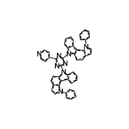 c1ccc(-n2ccc3ccc4c(c5ccccc5n4-c4nc(-c5ccncc5)nc(-n5c6ccccc6c6c7c(ccc65)ccn7-c5ccccc5)n4)c32)cc1